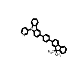 CC1(C)c2ccccc2-c2ccc(-c3ccc(-c4ccc5c(c4)c4ccccc4n5-c4cccnc4)cc3)cc21